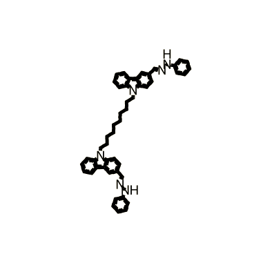 C(=NNc1ccccc1)c1ccc2c(c1)c1ccccc1n2CCCCCCCCCCn1c2ccccc2c2cc(C=NNc3ccccc3)ccc21